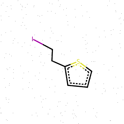 ICCc1cccs1